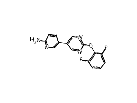 Nc1ccc(-c2cnc(Oc3c(F)cccc3F)nc2)cn1